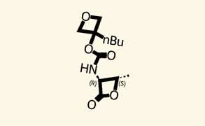 CCCCC1(OC(=O)N[C@H]2C(=O)O[C@H]2C)COC1